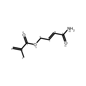 C=C(C)C(=O)OCC=CC(N)=O